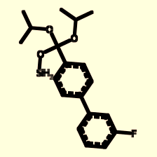 CC(C)OC(O[SiH3])(OC(C)C)c1ccc(-c2cccc(F)c2)cc1